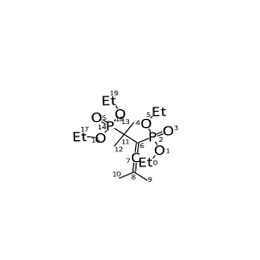 CCOP(=O)(OCC)C(=C=C(C)C)C(C)(C)P(=O)(OCC)OCC